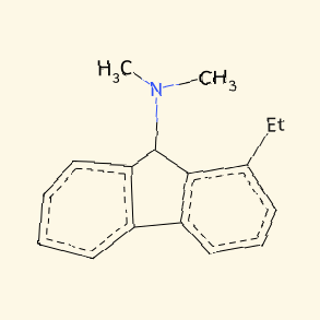 CCc1cccc2c1C(N(C)C)c1ccccc1-2